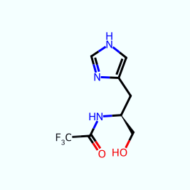 O=C(N[C@H](CO)Cc1c[nH]cn1)C(F)(F)F